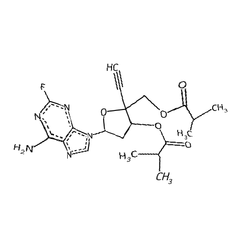 C#CC1(COC(=O)C(C)C)OC(n2cnc3c(N)nc(F)nc32)CC1OC(=O)C(C)C